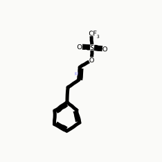 O=S(=O)(O/C=C/Cc1[c]cccc1)C(F)(F)F